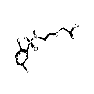 CN(CCOCC(=O)O)S(=O)(=O)c1cc(F)ccc1F